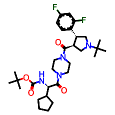 CC(C)(C)OC(=O)N[C@H](C(=O)N1CCN(C(=O)[C@@H]2CN(C(C)(C)C)C[C@H]2c2ccc(F)cc2F)CC1)C1CCCC1